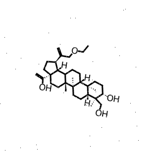 C=C(COCC)[C@@H]1CC[C@]2(C(=C)O)CC[C@]3(C)C(CC[C@@H]4[C@@]5(C)CC[C@H](O)[C@@](C)(CO)[C@@H]5CC[C@]43C)[C@@H]12